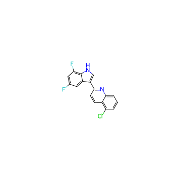 Fc1cc(F)c2[nH]cc(-c3ccc4c(Cl)cccc4n3)c2c1